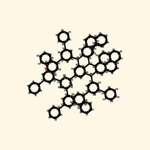 c1ccc(-c2cc(-c3ccccc3)cc(-c3nc(-c4cc(-c5ccccc5)cc(-c5ccccc5)c4)nc(-c4cc5c6c(c4)N(c4cc(-c7ccccc7)cc(-c7ccccc7)c4)c4cc7ccc8cccc9ccc(c4B6c4c(cc6ccc%10cccc%11ccc4c6c%10%11)N5c4cc(-c5ccccc5)cc(-c5ccccc5)c4)c7c89)n3)c2)cc1